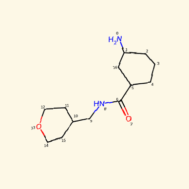 NC1CCCC(C(=O)NCC2CCOCC2)C1